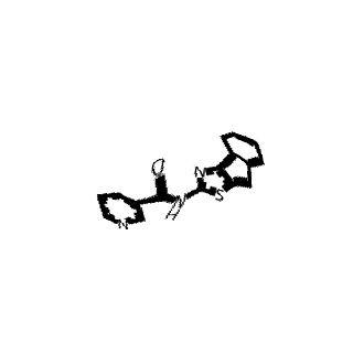 O=C(Nc1nc2c(s1)=CC1=CC=CCC=21)c1cccnc1